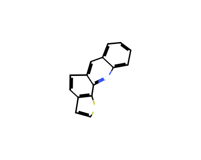 c1ccc2nc3c(ccc4ccsc43)cc2c1